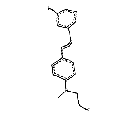 CN(CCF)c1ccc(/C=C/c2cccc(I)c2)cc1